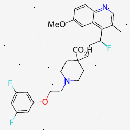 COc1ccc2ncc(C)c([C@@H](F)CCC3(C(=O)O)CCN(CCOc4cc(F)cc(F)c4)CC3)c2c1